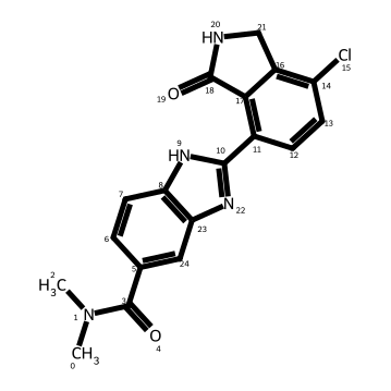 CN(C)C(=O)c1ccc2[nH]c(-c3ccc(Cl)c4c3C(=O)NC4)nc2c1